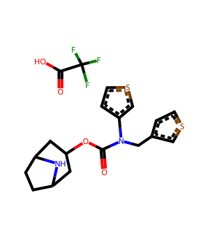 O=C(O)C(F)(F)F.O=C(OC1CC2CCC(C1)N2)N(Cc1ccsc1)c1ccsc1